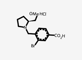 COC[C@@H]1CCCN1Cc1ccc(C(=O)O)cc1Br.Cl